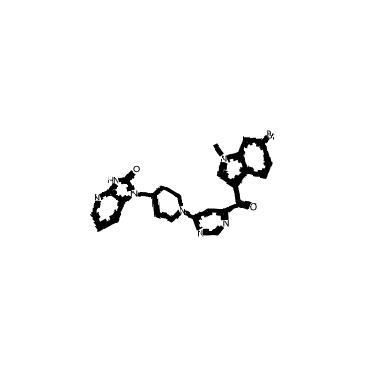 Cn1cc(C(=O)c2cc(N3CCC(n4c(=O)[nH]c5ncccc54)CC3)ncn2)c2ccc(Br)cc21